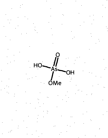 CO[As](=O)(O)O